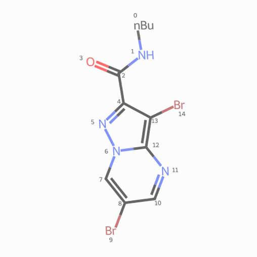 CCCCNC(=O)c1nn2cc(Br)cnc2c1Br